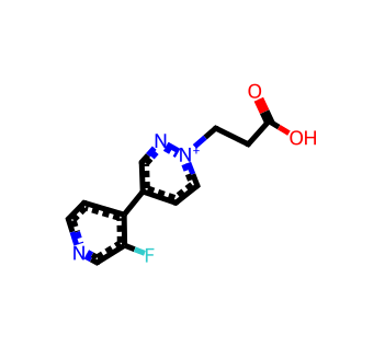 O=C(O)CC[n+]1ccc(-c2ccncc2F)cn1